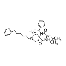 CC(C)C[C@@H]1NC(=O)C2(CCN(CCCCCCc3ccccc3)CC2)N(C(C)c2ccccc2)C1=O